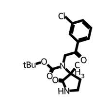 CC(C)(C)OC(=O)N(CC(=O)c1cccc(Cl)c1)C1(C)CCNC1=O